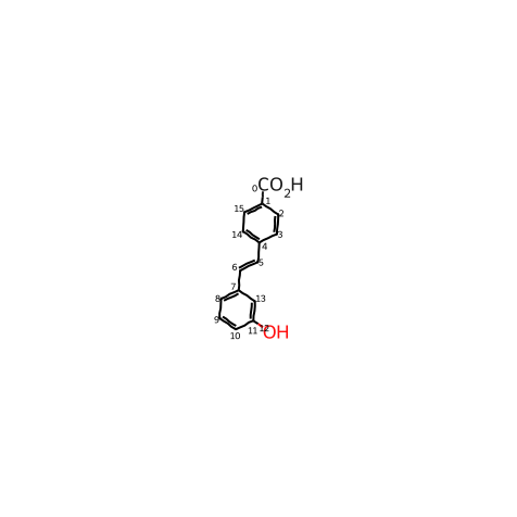 O=C(O)c1ccc(C=Cc2cccc(O)c2)cc1